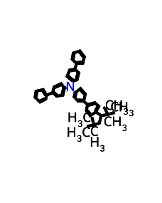 CCC(C)(CC)CC(c1ccc(-c2ccc(N(c3ccc(-c4ccccc4)cc3)c3ccc(-c4ccccc4)cc3)cc2)cc1)C(C)(CC)CC